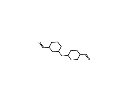 O=CC1CCC(CC2CCCC(C=O)C2)CC1